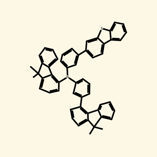 CC1(C)c2ccccc2-c2c(-c3cccc(N(c4cccc(-c5ccc6c(c5)sc5ccccc56)c4)c4cccc5c4-c4ccccc4C5(C)C)c3)cccc21